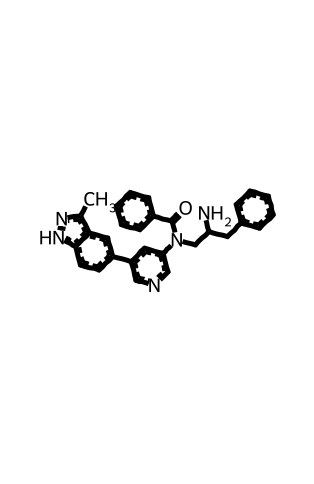 Cc1n[nH]c2ccc(-c3cncc(N(CC(N)Cc4ccccc4)C(=O)c4ccccc4)c3)cc12